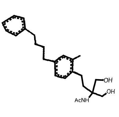 CC(=O)NC(CO)(CO)CCc1ccc(CCCCc2ccccc2)cc1C